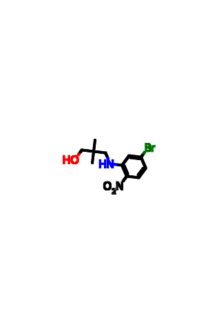 CC(C)(CO)CNc1cc(Br)ccc1[N+](=O)[O-]